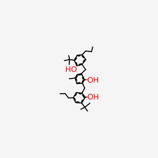 CCCc1cc(Cc2cc(C)cc(Cc3cc(CCC)cc(C(C)(C)C)c3O)c2O)c(O)c(C(C)(C)C)c1